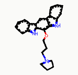 c1ccc2c(c1)[nH]c1c(OCCCN3CCCC3)c3[nH]c4ccccc4c3cc12